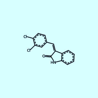 O=C1Nc2ccccc2C1=Cc1ccc(Cl)c(Cl)c1